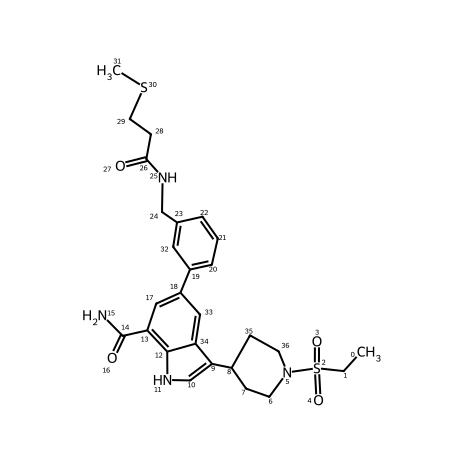 CCS(=O)(=O)N1CCC(c2c[nH]c3c(C(N)=O)cc(-c4cccc(CNC(=O)CCSC)c4)cc23)CC1